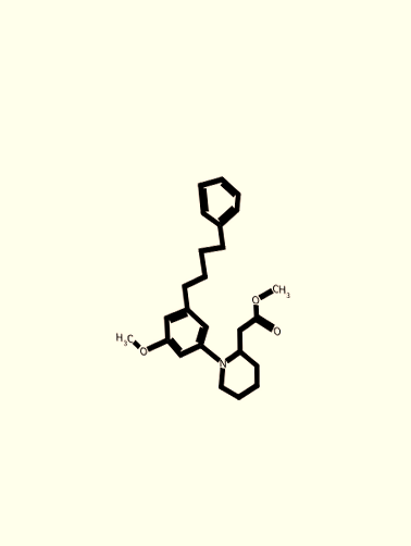 COC(=O)CC1CCCCN1c1cc(CCCCc2ccccc2)cc(OC)c1